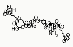 CC[C@H](O)[C@@H](C)[C@H]1O[C@@H]1CC(C)(O)/C=C/C=C(\C)[C@H]1OC(=O)C[C@H](O)CC[C@@](C)(OC)[C@@H](OC(=O)N2CCN(C(=O)OCc3ccc(NC(=O)[C@H](CC(N)=O)NC(=O)[C@H](C)NC(=O)[C@H](C)NC(=O)CCCCCN4C(=O)C=CC4=O)cc3)CC2)/C=C/[C@@H]1C